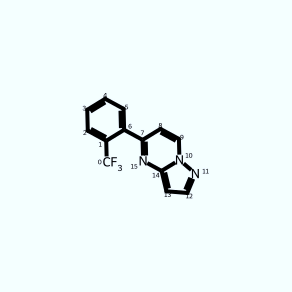 FC(F)(F)c1ccccc1-c1ccn2nccc2n1